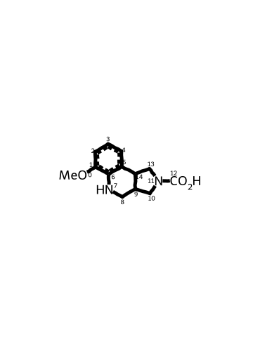 COc1cccc2c1NCC1CN(C(=O)O)CC21